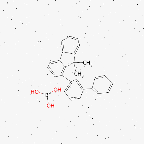 CC1(C)c2ccccc2-c2cccc(-c3cccc(-c4ccccc4)c3)c21.OB(O)O